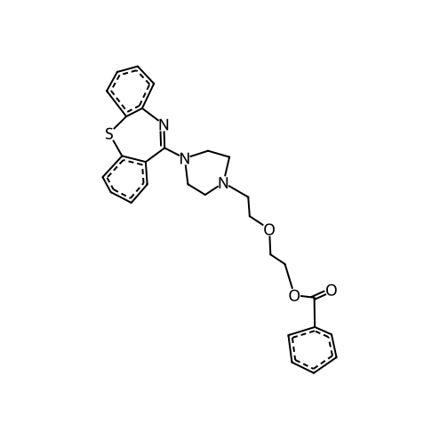 O=C(OCCOCCN1CCN(C2=Nc3ccccc3Sc3ccccc32)CC1)c1ccccc1